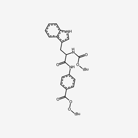 CC(C)(C)OOC(=O)c1ccc(NC(=O)C(Cc2c[nH]c3ccccc23)NC(=O)OC(C)(C)C)cc1